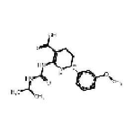 COc1cccc([C@H]2CCC(C(=O)O)=C(NC(=O)NC(C)C)N2)c1